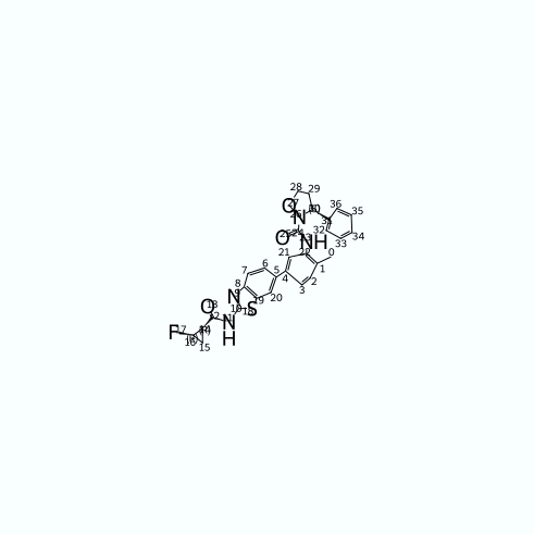 Cc1ccc(-c2ccc3nc(NC(=O)[C@H]4C[C@H]4F)sc3c2)cc1NC(=O)N1OCC[C@H]1c1ccccc1